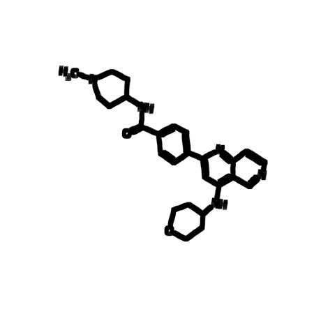 CN1CCC(NC(=O)c2ccc(-c3cc(NC4CCOCC4)c4cnccc4n3)cc2)CC1